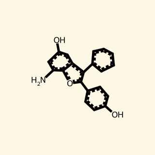 Nc1cc(O)cc2c(-c3ccccc3)c(-c3ccc(O)cc3)oc12